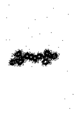 Cc1cccc(N(c2ccc3c(c2)C(C)(C)c2cc4cc(N(c5cccc(C)c5)c5cccc6c5oc5ccccc56)ccc4cc2-3)c2cccc3c2oc2ccccc23)c1